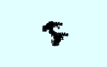 CC[C@H](NC(=O)[C@H](C)NC)C(=O)N1C[C@@H](OCCC(=O)N2CCN(C(=O)CCO[C@H]3C[C@@H](C(=O)N[C@@H]4CCCc5ccccc54)N(C(=O)[C@H](CC)NC(=O)[C@H](C)NC)C3)CC2)C[C@H]1C(=O)N[C@@H]1CCCc2ccccc21